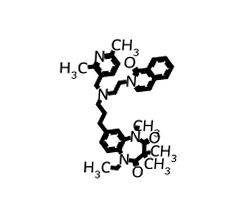 CCN1C(=O)C(C)(C)C(=O)N(C)c2cc(CCCN(CCn3ccc4ccccc4c3=O)Cc3ccc(C)nc3C)ccc21